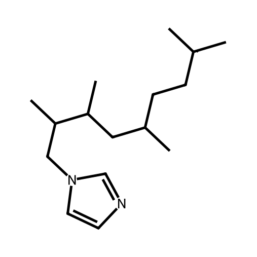 C[C](C)CCC(C)CC(C)C(C)Cn1ccnc1